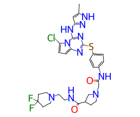 Cc1cc(Nc2nc(Sc3ccc(NC(=O)CN4CCC(C(=O)NCCN5CCC(F)(F)CC5)C4)cc3)nc3ccc(Cl)n23)n[nH]1